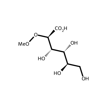 COO[C@@H](C(=O)O)[C@@H](O)[C@H](O)[C@H](O)CO